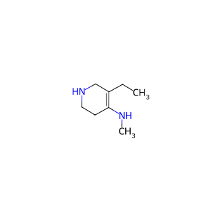 CCC1=C(NC)CCNC1